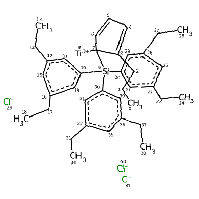 CCCC1=CC=C[C]1([Ti+3])[Si](c1cc(CC)cc(CC)c1)(c1cc(CC)cc(CC)c1)c1cc(CC)cc(CC)c1.[Cl-].[Cl-].[Cl-]